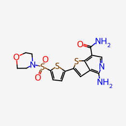 NC(=O)c1cnc(N)c2cc(-c3ccc(S(=O)(=O)N4CCOCC4)s3)sc12